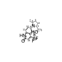 CC(O)C1CCC(C)N1c1ccc2[nH]c(=O)cc(C(F)(F)F)c2c1